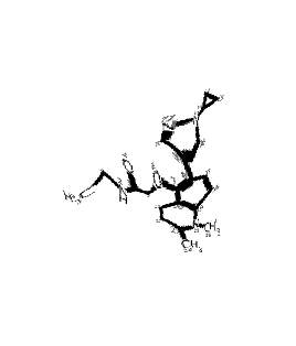 CCNC(=O)COc1c(-c2cnn(C3CC3)c2)ccc2c1CCC(C)N2C